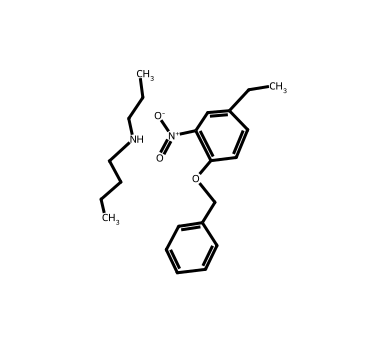 CCCCNCCC.CCc1ccc(OCc2ccccc2)c([N+](=O)[O-])c1